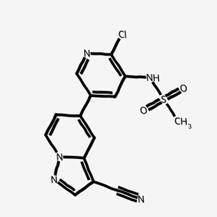 CS(=O)(=O)Nc1cc(-c2ccn3ncc(C#N)c3c2)cnc1Cl